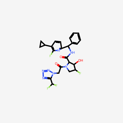 O=C(NC(c1ccccc1)c1ccc(C2CC2)c(F)n1)C1C(O)C(F)CN1C(=O)Cn1nnnc1C(F)F